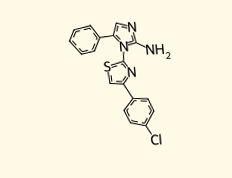 Nc1ncc(-c2ccccc2)n1-c1nc(-c2ccc(Cl)cc2)cs1